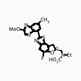 CCN(C[C@@H]1Cc2c(c(F)cc3nc(-c4cc(C)cc5nc(OC)cnc45)sc23)O1)C(=O)O